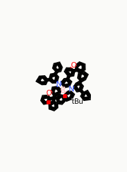 CC(C)(C)c1ccc2c(c1)N(c1cc(-c3ccccc3)cc(-c3ccccc3)c1)c1cc(-c3ccc4oc5ccccc5c4c3)cc3c1B2c1cc2c(cc1N3c1cc(-c3ccccc3)cc(-c3ccccc3)c1)Oc1ccccc1C2(c1ccccc1)c1ccccc1